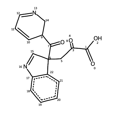 O=C(O)C(=O)CC1(C(=O)C2C=CC=NC2)C=Nc2ccccc21